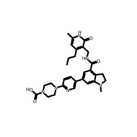 CCCc1cc(C)[nH]c(=O)c1CNC(=O)c1cc(-c2ccc(N3CCN(C(=O)O)CC3)nc2)cc2c1CCN2C